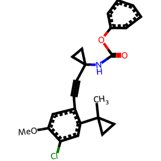 COc1cc(C#CC2(NC(=O)Oc3ccccc3)CC2)c(C2(C)CC2)cc1Cl